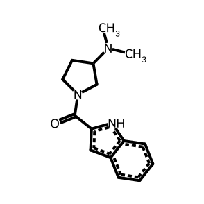 CN(C)C1CCN(C(=O)c2cc3ccccc3[nH]2)C1